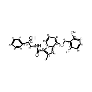 Cc1nc2c(OCc3c(F)cccc3F)cccn2c1C(=O)NC[C@H](O)c1ccccc1